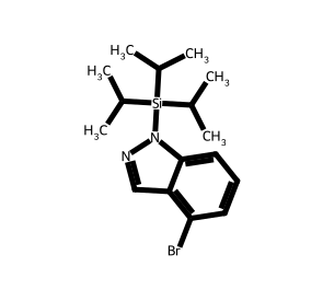 CC(C)[Si](C(C)C)(C(C)C)n1ncc2c(Br)cccc21